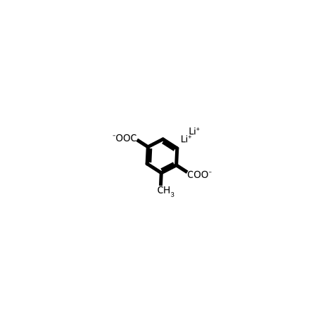 Cc1cc(C(=O)[O-])ccc1C(=O)[O-].[Li+].[Li+]